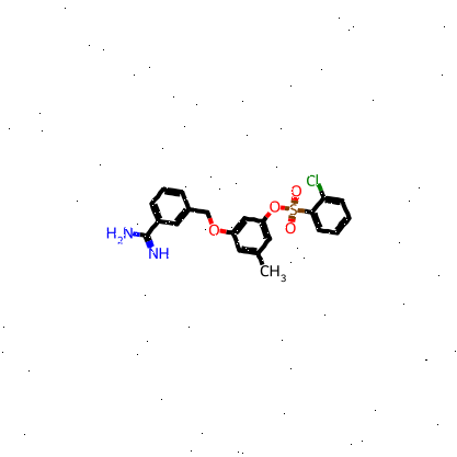 Cc1cc(OCc2cccc(C(=N)N)c2)cc(OS(=O)(=O)c2ccccc2Cl)c1